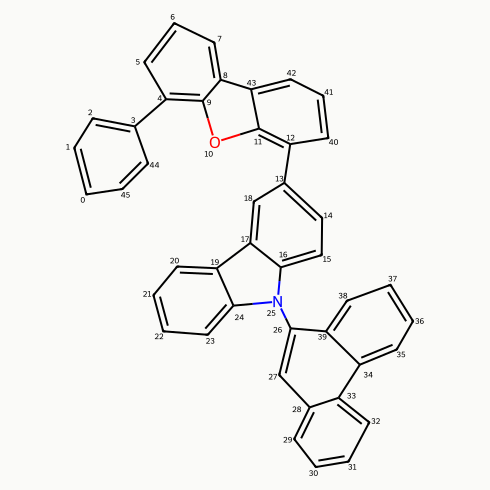 c1ccc(-c2cccc3c2oc2c(-c4ccc5c(c4)c4ccccc4n5-c4cc5ccccc5c5ccccc45)cccc23)cc1